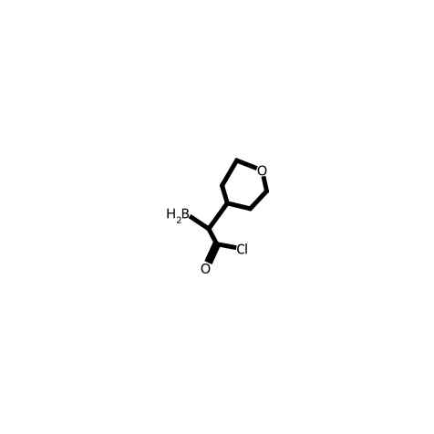 BC(C(=O)Cl)C1CCOCC1